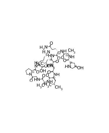 CC(C)C[C@H](NC(=O)CNC(=O)[C@H](CC(C)C)NC(=O)[C@H](CCC(N)=O)NC(=O)[C@H](C)NC(=O)[C@@H]1C[C@@H](O)CN1)C(=O)N[C@@H](C)C(=O)NCC(=O)N1CCC[C@H]1C(=O)N[C@@H](CCCCN)C(=O)O